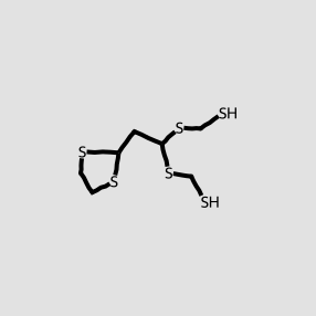 SCSC(CC1SCCS1)SCS